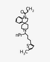 C=CC(=O)N1CCC2(CCN(C(CCC)CCCc3ccc(C)s3)CC2)c2ccccc21